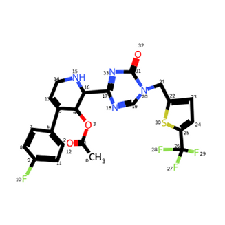 CC(=O)OC1C(c2ccc(F)cc2)=CCNC1c1ncn(Cc2ccc(C(F)(F)F)s2)c(=O)n1